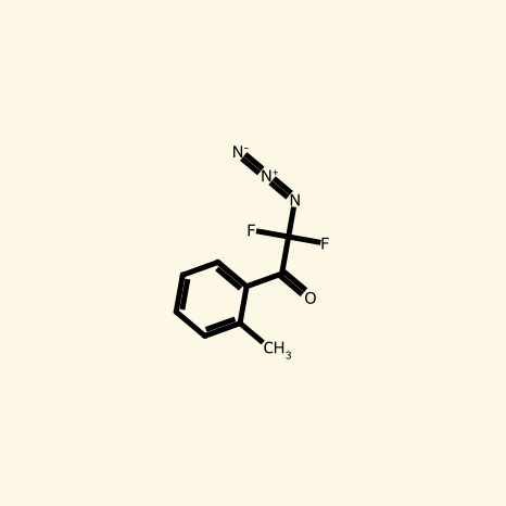 Cc1ccccc1C(=O)C(F)(F)N=[N+]=[N-]